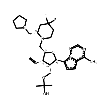 C=C[C@H]1[C@@H](COC(C)(C)O)[C@H](c2ccc3c(N)ncnn23)O[C@@H]1CN1CCC(F)(F)C[C@H]1CN1CCCC1